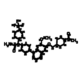 COc1cc2c(-c3ccc(C(C(N)=O)c4ccc(C(F)(F)F)cc4)cc3)ncnc2cc1OCC1CCN(C(C)=O)CC1